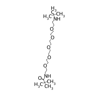 CC(C)(C)NCCOCCOCCOCCOCCOCCNC(=O)C(C)(C)C